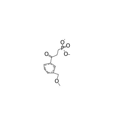 COCc1cccc(C(=O)CCP(=O)(OC)OC)c1